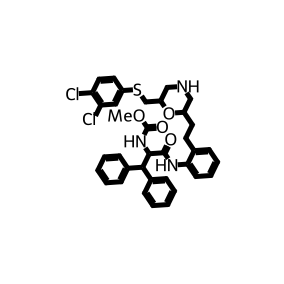 COC(=O)NC(C(=O)Nc1ccccc1CCC1CNCC(CSc2ccc(Cl)c(Cl)c2)O1)C(c1ccccc1)c1ccccc1